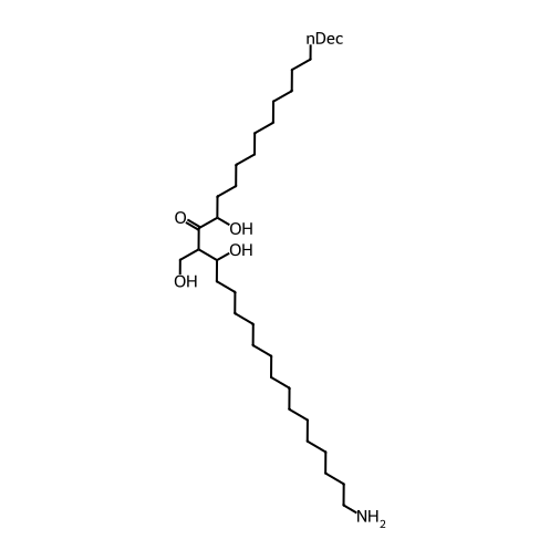 CCCCCCCCCCCCCCCCCCCCC(O)C(=O)C(CO)C(O)CCCCCCCCCCCCCCCN